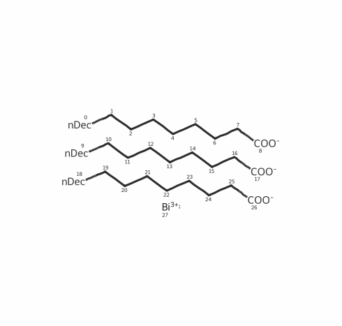 CCCCCCCCCCCCCCCCCC(=O)[O-].CCCCCCCCCCCCCCCCCC(=O)[O-].CCCCCCCCCCCCCCCCCC(=O)[O-].[Bi+3]